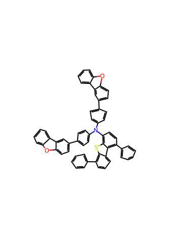 c1ccc(-c2cccc3c2sc2c(N(c4ccc(-c5ccc6oc7ccccc7c6c5)cc4)c4ccc(-c5ccc6oc7ccccc7c6c5)cc4)ccc(-c4ccccc4)c23)cc1